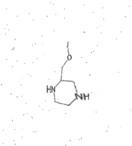 IOCC1CNCCN1